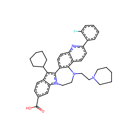 O=C(O)c1ccc2c(C3CCCCC3)c3n(c2c1)CCN(CCN1CCCCC1)c1c-3ccc2nc(-c3ccccc3F)ccc12